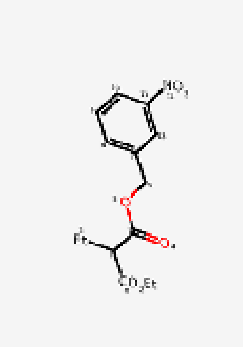 CCOC(=O)C(CC)C(=O)OCc1cccc([N+](=O)[O-])c1